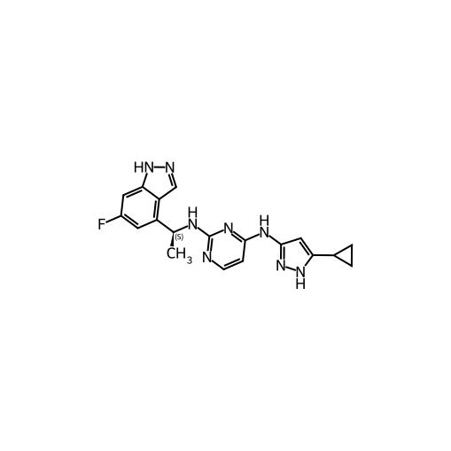 C[C@H](Nc1nccc(Nc2cc(C3CC3)[nH]n2)n1)c1cc(F)cc2[nH]ncc12